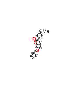 COc1ccc(C2=C(O)Oc3cc(OCc4ccccc4)ccc3C2)cc1